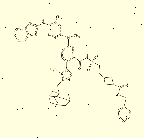 Cc1cc(N(C)c2ccc(-c3cnn(CC45CC6CC(CC(C6)C4)C5)c3C)c(C(=O)NS(=O)(=O)CCN3CC(C(=O)OCc4ccccc4)C3)n2)nnc1Nc1nc2ccccc2s1